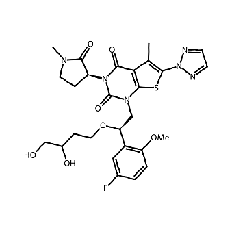 COc1ccc(F)cc1[C@H](Cn1c(=O)n([C@H]2CCN(C)C2=O)c(=O)c2c(C)c(-n3nccn3)sc21)OCCC(O)CO